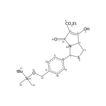 CCOC(=O)C1=C(O)C2CSC(c3ccc(CO[Si](C)(C)C(C)(C)C)cc3)N2C1=O